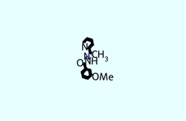 COc1cccc(C(=O)N/N=C(\C)c2ccccn2)c1